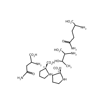 CC(O)C(N)C(=O)O.NC(=O)CC(N)C(=O)O.NC(=O)CCC(N)C(=O)O.O=C(O)[C@@H]1CCCN1.O=C(O)[C@@H]1CCCN1